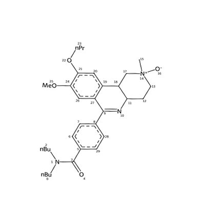 CCCCN(CCCC)C(=O)c1ccc(C2=NC3CC[N+](C)([O-])CC3c3cc(OCCC)c(OC)cc32)cc1